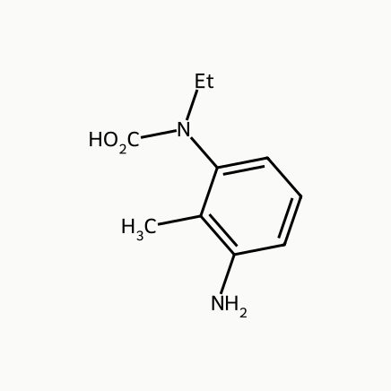 CCN(C(=O)O)c1cccc(N)c1C